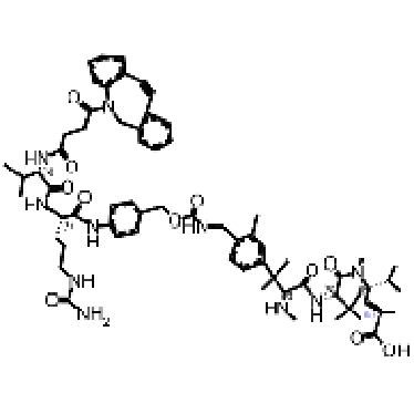 CN[C@@H](C(=O)N[C@H](C(=O)N(C)[C@@H](/C=C(\C)C(=O)O)C(C)C)C(C)(C)C)C(C)(C)c1ccc(CNC(=O)OCc2ccc(NC(=O)[C@H](CCCNC(N)=O)NC(=O)[C@@H](NC(=O)CCC(=O)N3Cc4ccccc4C#Cc4ccccc43)C(C)C)cc2)c(C)c1